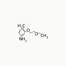 CCOCCOc1cc(N)ccc1C